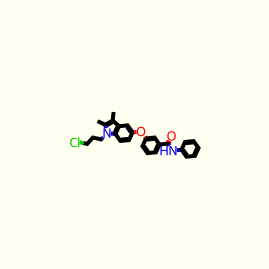 Cc1c(C)n(CCCCl)c2ccc(Oc3cccc(C(=O)Nc4ccccc4)c3)cc12